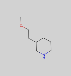 COCC[C]1CCCNC1